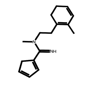 CC1=C(CCN(C)C(=N)C2=CC=CC2)CCC=C1